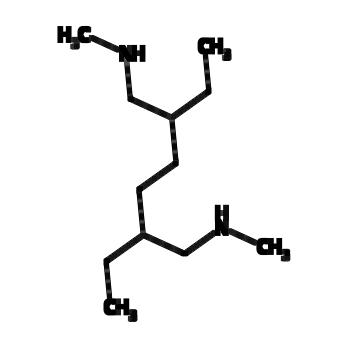 CCC(CCC(CC)CNC)CNC